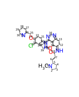 CN1CCCC1C=CC(=O)Nc1ccc2ncnc(Nc3ccc(OCc4ccccn4)c(Cl)c3)c2c1OC1CCC1